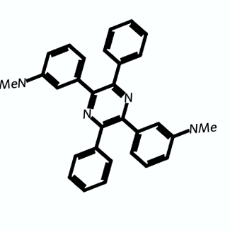 CNc1cccc(-c2nc(-c3ccccc3)c(-c3cccc(NC)c3)nc2-c2ccccc2)c1